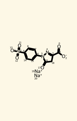 O=C([O-])C1=NN(c2ccc(S(=O)(=O)[O-])cc2)C(=O)C1.[Na+].[Na+]